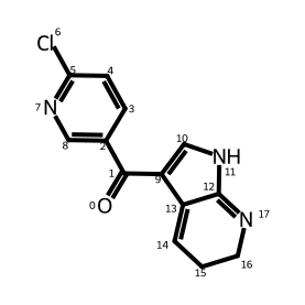 O=C(c1ccc(Cl)nc1)c1c[nH]c2c1=CCCN=2